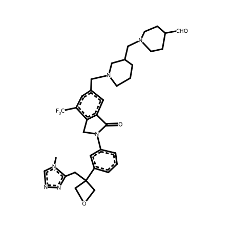 Cn1cnnc1CC1(c2cccc(N3Cc4c(cc(CN5CCCC(CN6CCC(C=O)CC6)C5)cc4C(F)(F)F)C3=O)c2)COC1